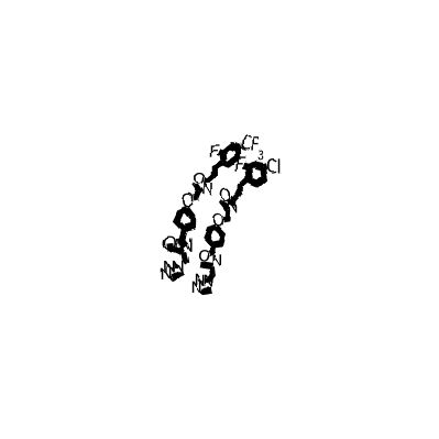 Fc1cc(C(F)(F)F)ccc1C=Cc1nc(COc2ccc(-c3nc(Cn4ccnn4)co3)cc2)co1.Fc1cc(Cl)ccc1C=Cc1nc(COc2ccc(-c3nc(Cn4ccnn4)co3)cc2)co1